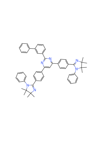 CC1(C)N=C(c2ccc(-c3cc(-c4ccc(C5=NC(C)(C)C(C)(C)N5c5ccccc5)cc4)nc(-c4cccc(-c5ccccc5)c4)n3)cc2)N(c2ccccc2)C1(C)C